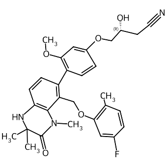 COc1cc(OC[C@H](O)CC#N)ccc1-c1ccc2c(c1COc1cc(F)ccc1C)N(C)C(=O)C(C)(C)N2